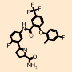 Cc1cc(F)ccc1Oc1ccc(C(F)(F)F)cc1C(=O)Nc1ccc(F)c(C2=NC(C(N)=O)CC2)c1